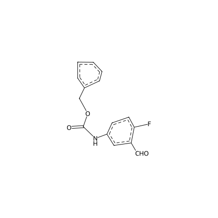 O=Cc1cc(NC(=O)OCc2ccccc2)ccc1F